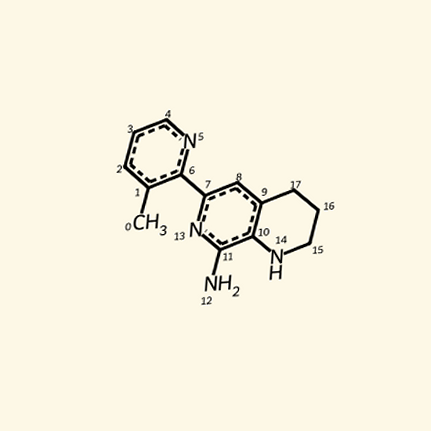 Cc1cccnc1-c1cc2c(c(N)n1)NCCC2